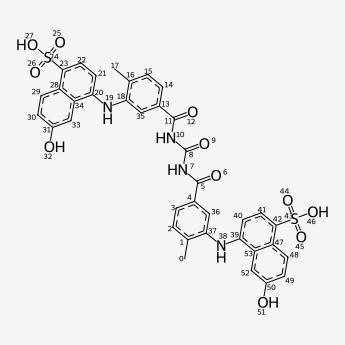 Cc1ccc(C(=O)NC(=O)NC(=O)c2ccc(C)c(Nc3ccc(S(=O)(=O)O)c4ccc(O)cc34)c2)cc1Nc1ccc(S(=O)(=O)O)c2ccc(O)cc12